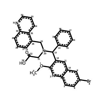 COc1nc2ccc(Br)cc2cc1C(c1ccccc1)N(CC(=O)O)Cc1cccc2ncccc12